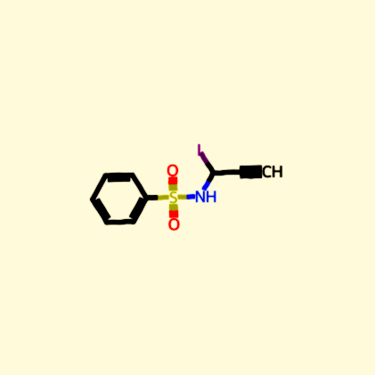 C#CC(I)NS(=O)(=O)c1ccccc1